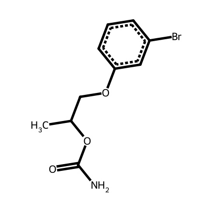 CC(COc1cccc(Br)c1)OC(N)=O